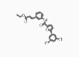 CCOC(=O)C=Cc1cccc(NC(=O)c2ccc(-c3cc(Cl)cc(Cl)c3)o2)c1